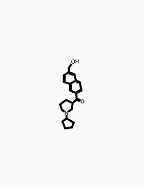 O=C(c1ccc2cc(CO)ccc2c1)C1CCCN(C2CCCC2)C1